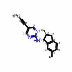 CCCC#Cc1cnc(N[C@H]2c3cc(C)ccc3C[C@@H]2C)nc1